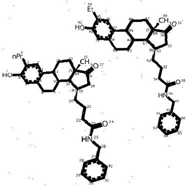 CCCc1cc2c(cc1O)CCC1C2CC[C@]2(C)C(=O)C[C@@H](CCCC(=O)NCc3ccccc3)C12.CCc1cc2c(cc1O)CCC1C2CC[C@]2(C)C(=O)C[C@@H](CCCC(=O)NCc3ccccc3)C12